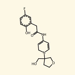 O=C(Cc1cc(F)ccc1O)NC1=CCN(C2(CO)CCOC2)C=C1